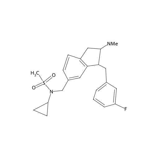 CNC1Cc2ccc(CN(C3CC3)S(C)(=O)=O)cc2C1Cc1cccc(F)c1